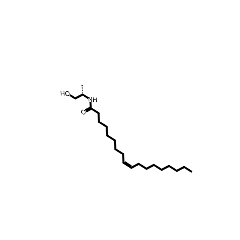 CCCCCCCC/C=C\CCCCCCCC(=O)N[C@@H](C)CO